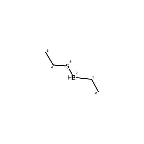 CCBSCC